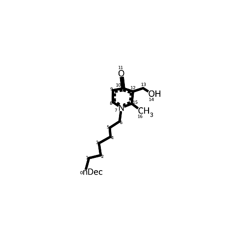 CCCCCCCCCCCCCCCCn1ccc(=O)c(CO)c1C